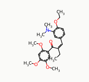 CCOc1ccc(C=C(CC)C(=O)c2cc(OC)c(OC)cc2OC)cc1N(C)C